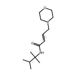 CC(C)C(C)(C)NC(=O)/C=C/CN1CCOCC1